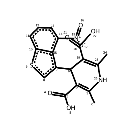 CC1=C(C(=O)O)C(c2csc3cccc([N+](=O)[O-])c23)C(C(=O)O)=C(C)N1